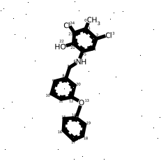 Cc1c(Cl)cc(NCc2cccc(Oc3ccccc3)c2)c(O)c1Cl